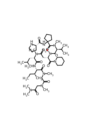 CC[C@H](C)[C@H](NC(=O)[C@H](CC(C)C)N(C)C(=O)C[C@@H](C(=O)N1CCCCC1)N(C)C(=O)[C@H](C(C)C)N(C)C(=O)C1(NC(=O)[C@@H]2CCCN2)CCCC1)C(=O)N(C)CC(=O)N(C)CC(=O)N(C)C